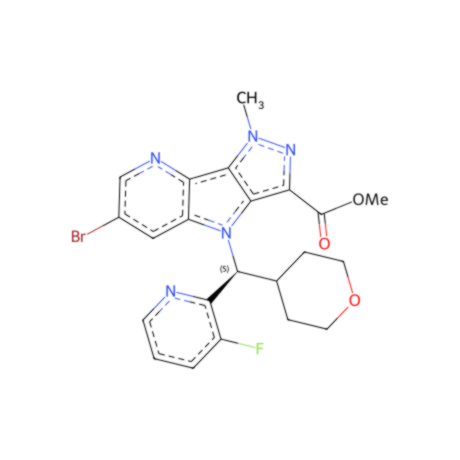 COC(=O)c1nn(C)c2c3ncc(Br)cc3n([C@H](c3ncccc3F)C3CCOCC3)c12